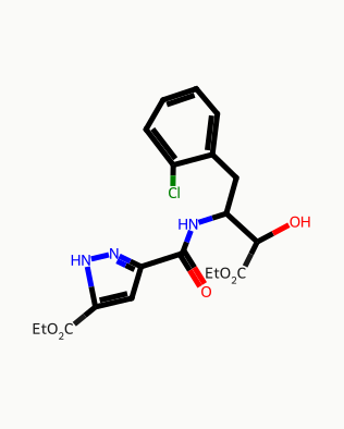 CCOC(=O)c1cc(C(=O)NC(Cc2ccccc2Cl)C(O)C(=O)OCC)n[nH]1